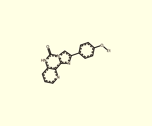 CCOc1ccc(-c2cn3c(=O)[nH]c4cccnc4c3n2)cc1